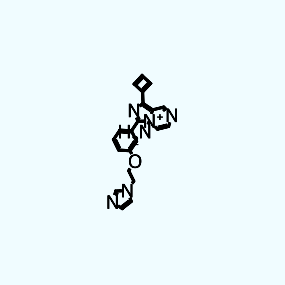 N[N+]12C=CN=CC1=C(C1=CC=C1)N=C2c1cccc(OCCn2ccnc2)c1